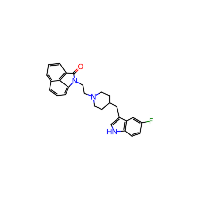 O=C1c2cccc3cccc(c23)N1CCN1CCC(Cc2c[nH]c3ccc(F)cc23)CC1